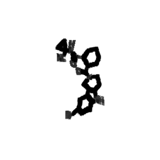 N#CC1(NC(=O)[C@@H]2CCCC[C@H]2C(=O)N2CCc3[nH]c4ccc(Br)cc4c3C2)CC1